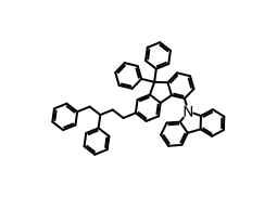 c1ccc(CC(CCc2ccc3c(c2)C(c2ccccc2)(c2ccccc2)c2cccc(-n4c5ccccc5c5ccccc54)c2-3)c2ccccc2)cc1